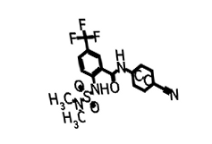 CN(C)S(=O)(=O)Nc1ccc(C(F)(F)F)cc1C(=O)NC12CCC(C#N)(CC1)CC2